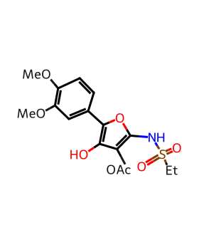 CCS(=O)(=O)Nc1oc(-c2ccc(OC)c(OC)c2)c(O)c1OC(C)=O